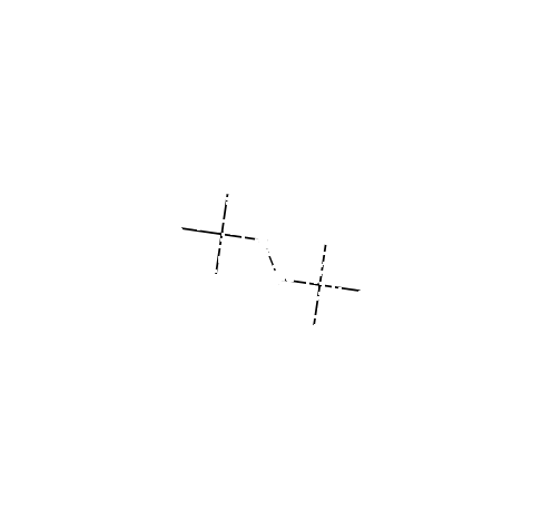 CC(C)(C)OSC(C)(C)C